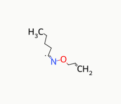 C=CCO/N=[C]\CCCC